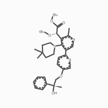 CCC(C)OC(=O)[C@@H](OC(C)(C)C)c1c(C)ncc(-c2ccc(OC[C@](C)(O)c3ccccc3)cn2)c1N1CCC(C)(C)CC1